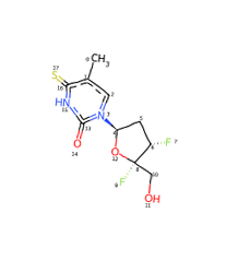 Cc1cn([C@H]2C[C@H](F)[C@@](F)(CO)O2)c(=O)[nH]c1=S